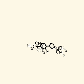 CN(C)[C@@H]1CCC(c2ccc(C(C)(C)C)cc2F)C1